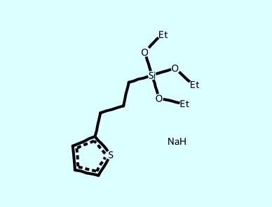 CCO[Si](CCCc1cccs1)(OCC)OCC.[NaH]